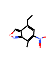 CCc1cc([N+](=O)[O-])c(C)c2nocc12